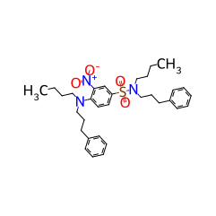 CCCCN(CCCc1ccccc1)c1ccc(S(=O)(=O)N(CCCC)CCCc2ccccc2)cc1[N+](=O)[O-]